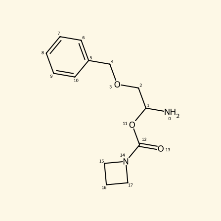 NC(COCc1ccccc1)OC(=O)N1CCC1